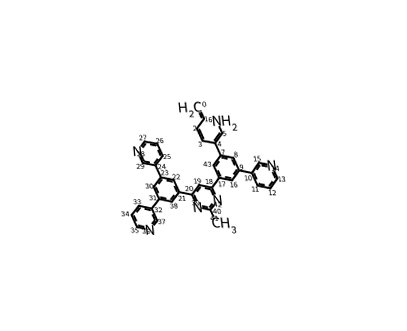 C=C/C=C\C(=C/N)c1cc(-c2cccnc2)cc(-c2cc(-c3cc(-c4cccnc4)cc(-c4cccnc4)c3)nc(C)n2)c1